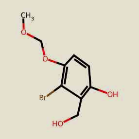 COCOc1ccc(O)c(CO)c1Br